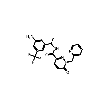 C[C@@H](NC(=O)c1ccc(=O)n(Cc2ccccn2)n1)c1cc(N)cc(C(F)(F)F)c1